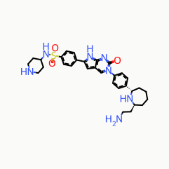 NCC[C@@H]1CCCC[C@@H](c2ccc(-n3cc4cc(-c5ccc(S(=O)(=O)NC6CCNCC6)cc5)[nH]c4nc3=O)cc2)N1